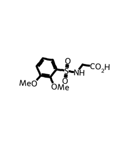 COc1cccc(S(=O)(=O)NCC(=O)O)c1OC